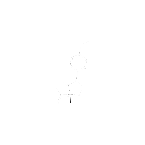 C=C(C)[C@@]1(C)CCN(c2ccc(OC)cc2)C1=O